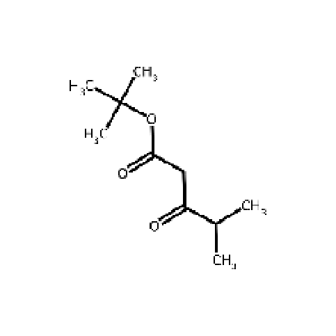 CC(C)C(=O)CC(=O)OC(C)(C)C